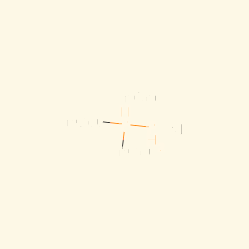 CCCCCCCC[PH](P)(CCCCCCCC)CCCCCCCC.[Pd]